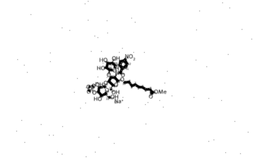 COC(=O)CCCCCCCCO[C@@H]1O[C@H](CO)[C@@H](O[C@@H]2O[C@H](CO)[C@H](O)[C@H](OS(=O)(=O)[O-])[C@H]2O)[C@H](O[C@@H]2O[C@@H](C)[C@@H](O)[C@@H](O)[C@@H]2O)[C@H]1NC(=O)c1ccc([N+](=O)[O-])cc1.[Na+]